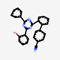 N#Cc1ccc(-c2ccccc2-c2nc(-c3ccccc3)nc(-c3ccccc3Br)n2)cc1